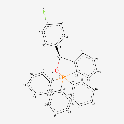 Fc1ccc([C@@H]2OP(c3ccccc3)(c3ccccc3)(c3ccccc3)c3ccccc32)cc1